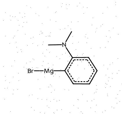 CN(C)c1cccc[c]1[Mg][Br]